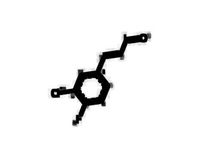 O=C/C=C/c1ccc(F)c(Cl)c1